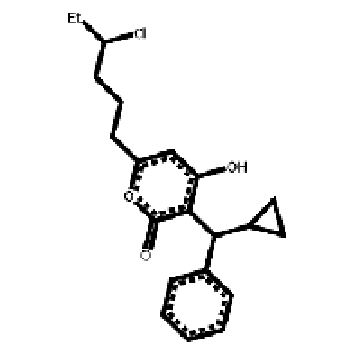 CCC(Cl)CCCc1cc(O)c(C(c2ccccc2)C2CC2)c(=O)o1